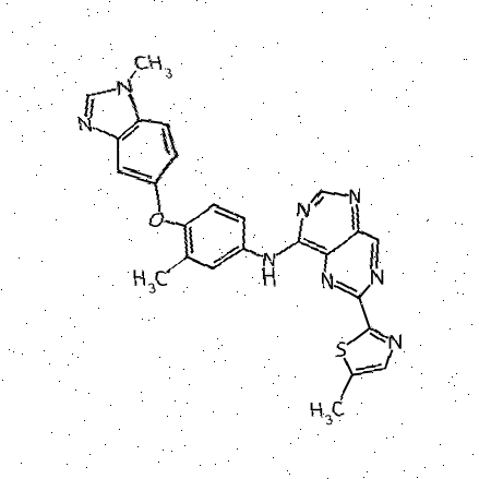 Cc1cnc(-c2ncc3ncnc(Nc4ccc(Oc5ccc6c(c5)ncn6C)c(C)c4)c3n2)s1